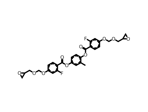 Cc1cc(OC(=O)c2ccc(OCOCC3CO3)cc2F)ccc1OC(=O)c1ccc(OCOCC2CO2)cc1F